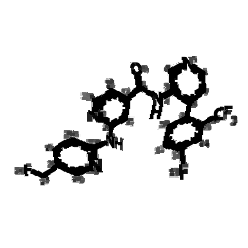 O=C(Nc1cnccc1-c1ccc(F)cc1C(F)(F)F)c1ccnc(Nc2ccc(CF)cn2)c1